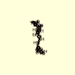 CCOc1cc(N2CCC(NCCNCCc3ccc4c(c3)oc(=O)n4C3CCC(=O)NC3=O)CC2)c(CC)cc1Nc1ncc(Br)c(Nc2ccc3nc(C)ccc3c2P(C)(C)=O)n1